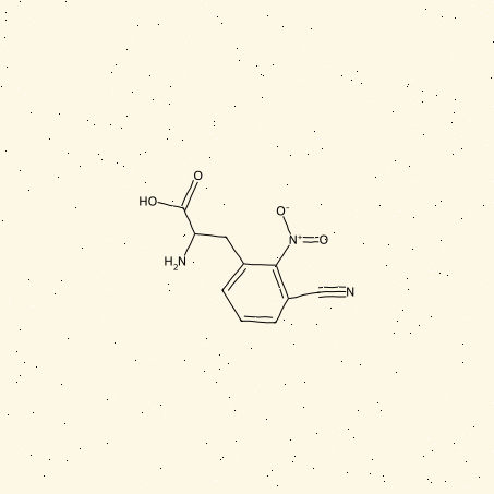 N#Cc1cccc(CC(N)C(=O)O)c1[N+](=O)[O-]